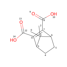 CC1(C)C2CCC1C(C(=O)O)=C2C(=O)O